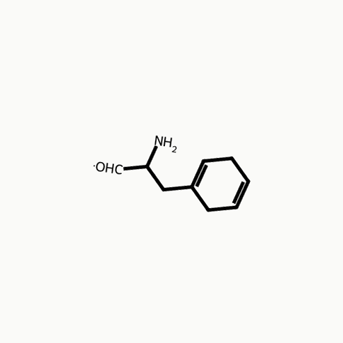 NC([C]=O)CC1=CCC=CC1